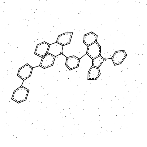 c1ccc(-c2cccc(-c3ccc(N(c4cccc(-c5c6ccccc6cc6c5c5ccccc5n6-c5ccccc5)c4)c4ccccc4-c4ccccc4)cc3)c2)cc1